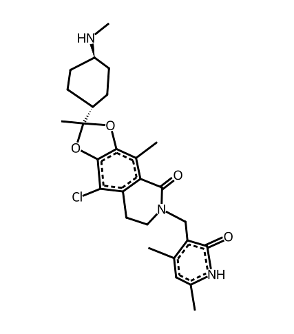 CN[C@H]1CC[C@H](C2(C)Oc3c(C)c4c(c(Cl)c3O2)CCN(Cc2c(C)cc(C)[nH]c2=O)C4=O)CC1